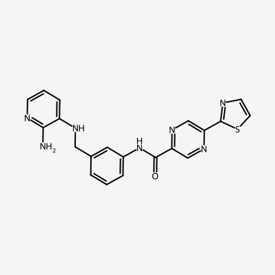 Nc1ncccc1NCc1cccc(NC(=O)c2cnc(-c3nccs3)cn2)c1